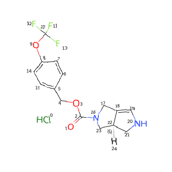 Cl.O=C(OCc1ccc(OC(F)(F)F)cc1)N1CC2=CNC[C@H]2C1